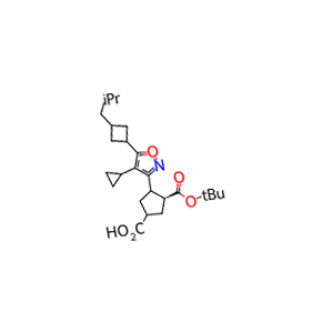 CC(C)CC1CC(c2onc(C3CC(C(=O)O)C[C@@H]3C(=O)OC(C)(C)C)c2C2CC2)C1